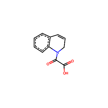 O=C(O)C(=O)N1CC=Cc2ccccc21